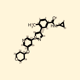 Cc1ccc(C(=O)NC2CC2)cc1-c1cnn(-c2cncc(OC3CCOCC3)c2)c1